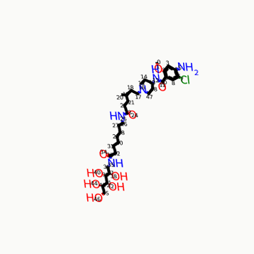 COc1cc(N)c(Cl)cc1C(=O)NC1CCN(CCC(C)CCC(=O)NCCCCCCCC(=O)NC[C@H](O)[C@@H](O)[C@H](O)[C@H](O)CO)CC1